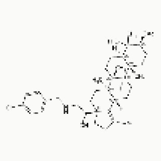 CC(=O)O[C@H]1CC[C@]2(C)[C@H]3CC[C@@H]4C5=C(C(C)C)CC[C@]5(C(O)CNCc5ccc(Cl)cc5)CC[C@@]4(C)[C@]3(C)CC[C@H]2C1(C)C